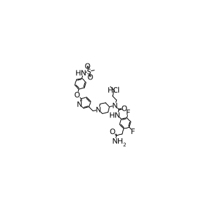 CCCCN(C(=O)Nc1cc(CC(N)=O)c(F)cc1F)C1CCN(Cc2ccc(Oc3ccc(NS(C)(=O)=O)cc3)nc2)CC1.Cl